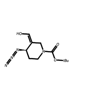 CC(C)(C)OC(=O)N1CC[C@@H](N=[N+]=[N-])/C(=C\O)C1